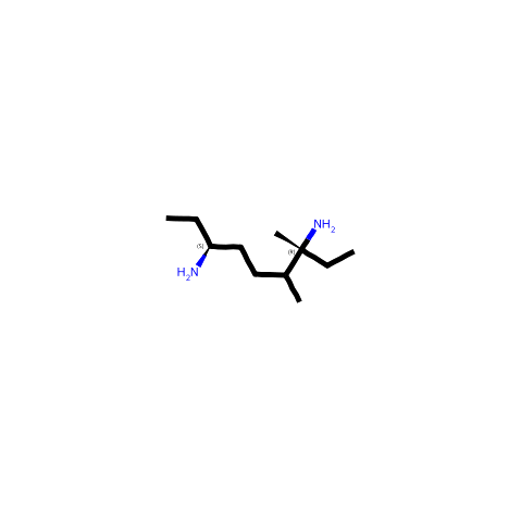 CC[C@H](N)CCC(C)[C@](C)(N)CC